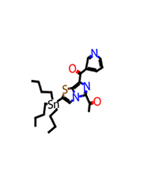 CCC[CH2][Sn]([CH2]CCC)([CH2]CCC)[c]1cn2c(C(C)=O)nc(C(=O)c3cccnc3)c2s1